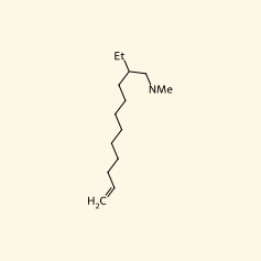 C=CCCCCCCCC(CC)CNC